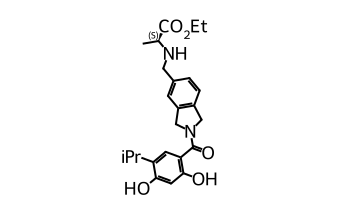 CCOC(=O)[C@H](C)NCc1ccc2c(c1)CN(C(=O)c1cc(C(C)C)c(O)cc1O)C2